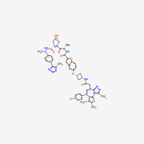 Cc1sc2c(c1C)C(c1ccc(Cl)cc1)=N[C@@H](CC(=O)N[C@H]1C[C@@H](Oc3ccc4oc(C(=O)N[C@H](C(=O)N5C[C@H](O)C[C@H]5C(=O)NC(C)c5ccc(-c6nccn6C)cc5)C(C)(C)C)cc4c3)C1)c1nnc(C)n1-2